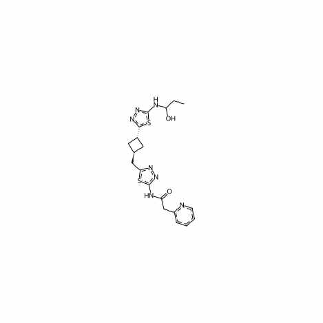 CCC(O)Nc1nnc([C@H]2C[C@H](Cc3nnc(NC(=O)Cc4ccccn4)s3)C2)s1